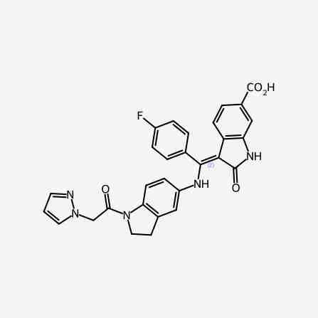 O=C1Nc2cc(C(=O)O)ccc2/C1=C(/Nc1ccc2c(c1)CCN2C(=O)Cn1cccn1)c1ccc(F)cc1